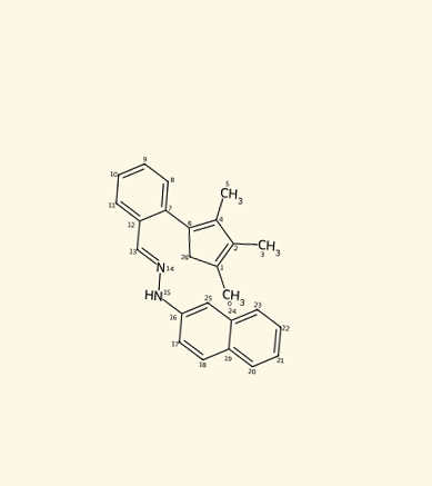 CC1=C(C)C(C)=C(c2ccccc2C=NNc2ccc3ccccc3c2)C1